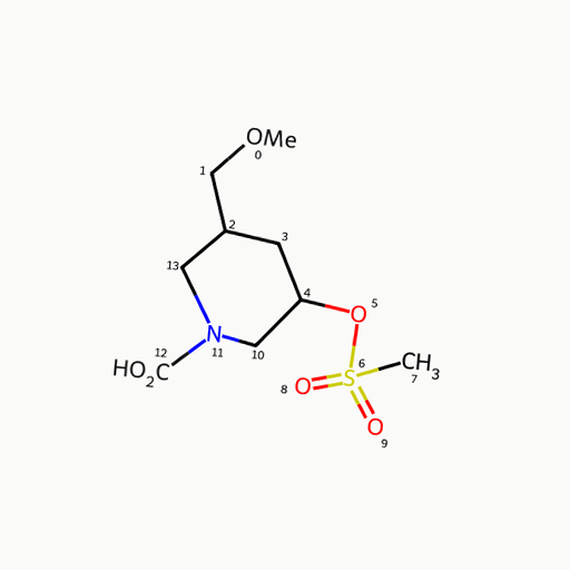 COCC1CC(OS(C)(=O)=O)CN(C(=O)O)C1